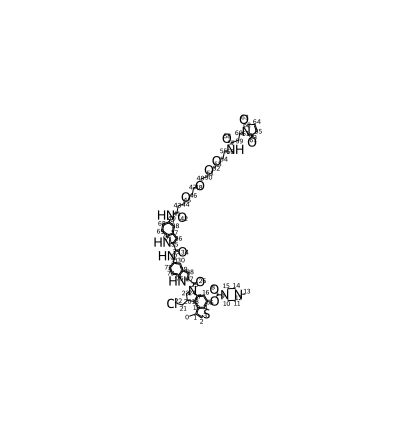 Cc1csc2c(OC(=O)N3CCN(C)CC3)cc3c(c12)[C@@H](CCl)CN3C(=O)c1cc2cc(NC(=O)c3cc4cc(NC(=O)CCOCCOCCOCOCCNC(=O)CCN5C(=O)C=CC5=O)ccc4[nH]3)ccc2[nH]1